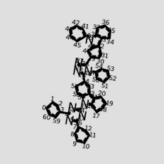 c1ccc(-c2nc(-c3ccccc3)nc(-n3c4ccccc4c4cc(-c5nnc(-c6ccc7c8ccccc8n(-c8ccccc8)c7c6)n5-c5ccccc5)ccc43)n2)cc1